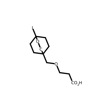 O=C(O)CCOCC12CCC(I)(CC1)OC2